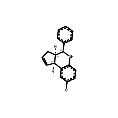 CCc1ccc2c(c1)[C@H]1C=CC[C@H]1[C@@H](c1ccccc1)N2